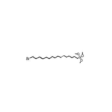 CO[Si](CCCCCCCCCCCCCCCCBr)(OC)OC